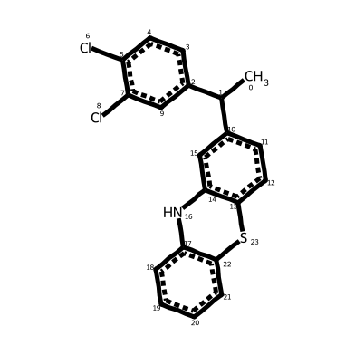 CC(c1ccc(Cl)c(Cl)c1)c1ccc2c(c1)Nc1ccccc1S2